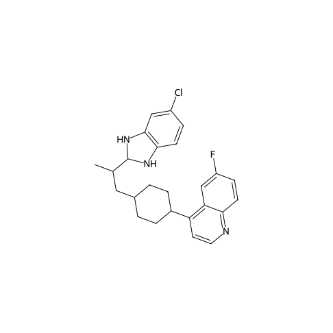 CC(CC1CCC(c2ccnc3ccc(F)cc23)CC1)C1Nc2ccc(Cl)cc2N1